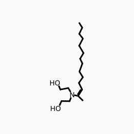 CCCCCCCCCCCC=C(C)N(CCO)CCO